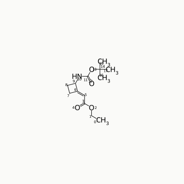 CCOC(=O)C=C1CCC1NC(=O)OC(C)(C)C